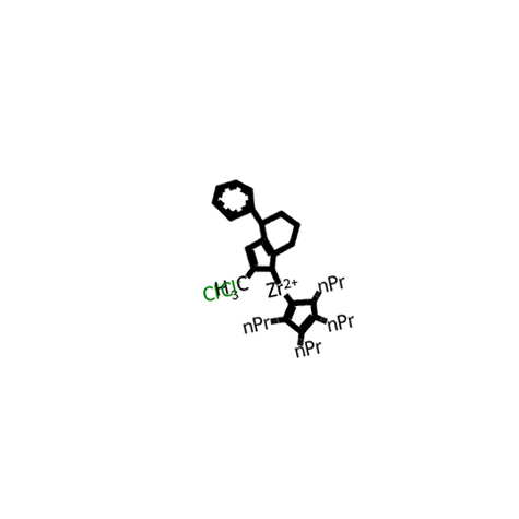 CCCC1=C(CCC)C(CCC)[C]([Zr+2][CH]2C(C)=CC3=C2CCCC3c2ccccc2)=C1CCC.[Cl-].[Cl-]